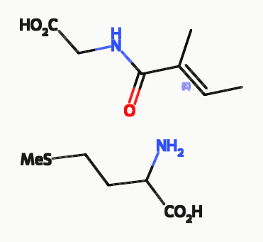 C/C=C(\C)C(=O)NCC(=O)O.CSCCC(N)C(=O)O